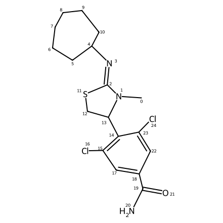 CN1C(=NC2CCCCCC2)SCC1c1c(Cl)cc(C(N)=O)cc1Cl